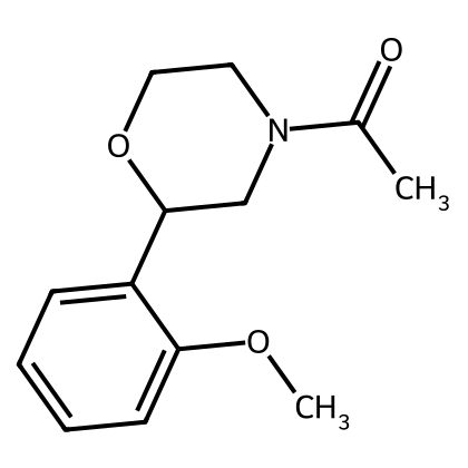 COc1ccccc1C1CN(C(C)=O)CCO1